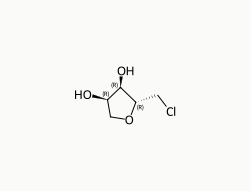 O[C@@H]1[C@H](O)CO[C@H]1CCl